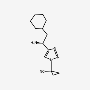 N#CC1(n2cc([C@@H](N)CC3CCCCC3)nn2)CC1